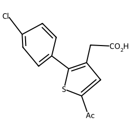 CC(=O)c1cc(CC(=O)O)c(-c2ccc(Cl)cc2)s1